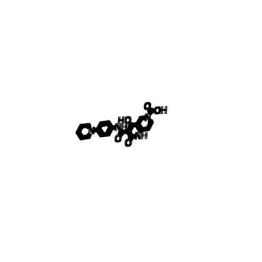 O=C(Nc1ccc(N2CCCCC2)cc1)c1c(O)c2c([nH]c1=O)CCN(C(=O)O)C2